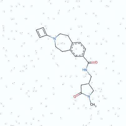 CN1CC(CNC(=O)c2ccc3c(c2)CCN(C2=CC=C2)CC3)CC1=O